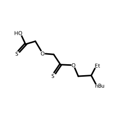 CCCCC(CC)COC(=S)COCC(O)=S